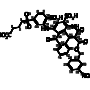 O=C(O)CCCS(=O)(=O)c1ccc(S(=O)(=O)O)c(Nc2cc(S(=O)(=O)O)c3[nH]c(=O)c(C(=O)OCc4cccc([N+](=O)[O-])c4)c4c3c2C(=O)c2ccccc2-4)c1